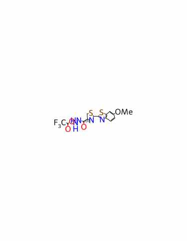 COc1ccc2nc(C3=N[C@@H](C(=O)NNOC(=O)C(F)(F)F)CS3)sc2c1